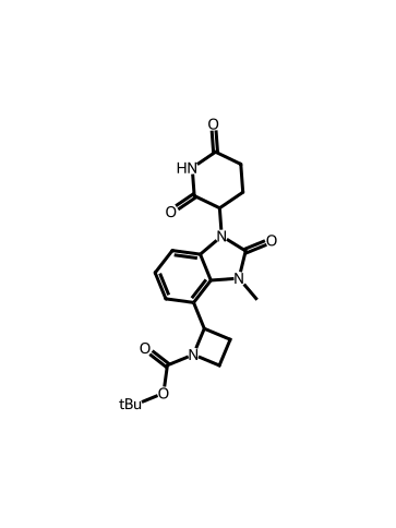 Cn1c(=O)n(C2CCC(=O)NC2=O)c2cccc(C3CCN3C(=O)OC(C)(C)C)c21